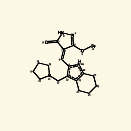 CC(C)OC1=NNC(=O)C1=Cc1[nH]c2c(c1CN1CCCC1)CCCC2